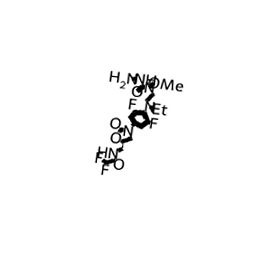 CCN(CCN(OC)C(=O)NN)c1c(F)cc(N2C[C@H](CNC(=O)C(F)F)OC2=O)cc1F